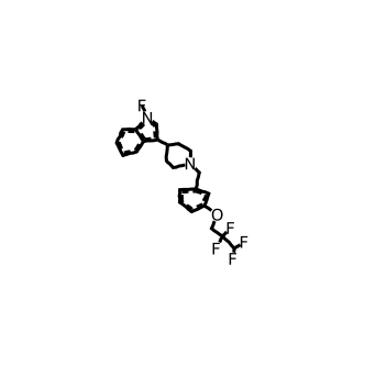 FC(F)C(F)(F)COc1cccc(CN2CCC(c3cn(F)c4ccccc34)CC2)c1